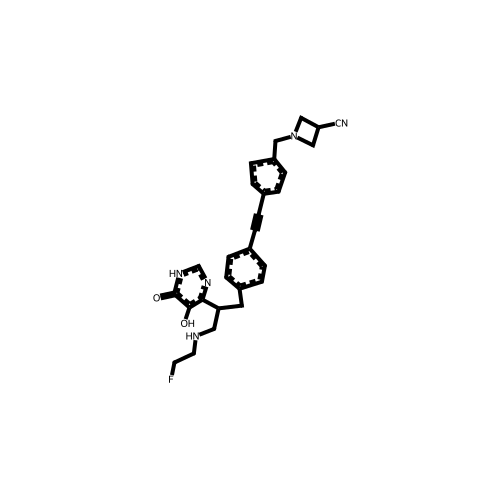 N#CC1CN(Cc2ccc(C#Cc3ccc(CC(CNCCF)c4nc[nH]c(=O)c4O)cc3)cc2)C1